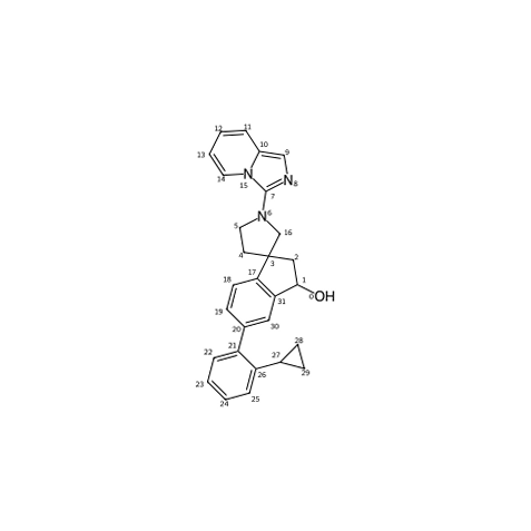 OC1CC2(CCN(c3ncc4ccccn34)C2)c2ccc(-c3ccccc3C3CC3)cc21